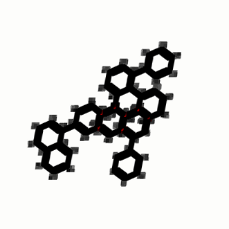 c1ccc(-c2cccc(N(c3ccc(-c4cccc5ccccc45)cc3)c3cccc(-c4ccccc4)c3-c3ccccc3-c3ccccc3)c2)cc1